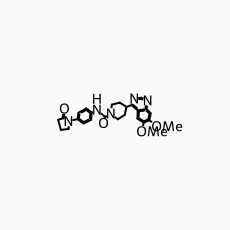 COc1cc2ncnc(C3CCN(C(=O)Nc4ccc(N5CCCC5=O)cc4)CC3)c2cc1OC